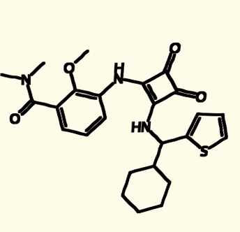 COc1c(Nc2c(NC(c3cccs3)C3CCCCC3)c(=O)c2=O)cccc1C(=O)N(C)C